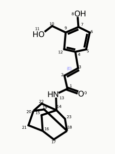 O=C(/C=C/c1ccc(O)c(CO)c1)NC12CC3CC(CC(C3)C1)C2